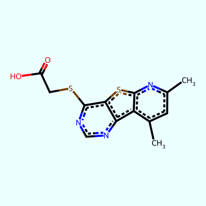 Cc1cc(C)c2c(n1)sc1c(SCC(=O)O)ncnc12